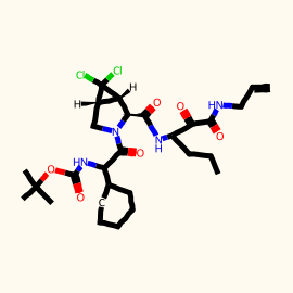 C=CCNC(=O)C(=O)C(CCC)NC(=O)[C@@H]1[C@@H]2[C@H](CN1C(=O)C(NC(=O)OC(C)(C)C)C1CCCCC1)C2(Cl)Cl